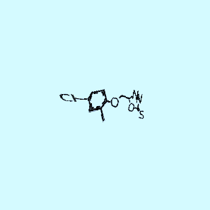 Cc1cc(Cl)ccc1OCC1N=NC(=S)O1